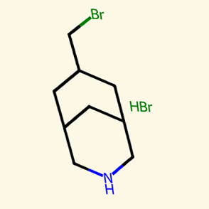 Br.BrCC1CC2CNCC(C1)C2